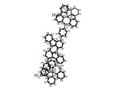 Cc1ccccc1C1(C2=CCCCC2C)c2ccccc2N(c2ccc(-c3ccc4c5c3c3ccccc3n5c3ccc(-c5ccc(N(C)c6ccccc6C6(c7ccccc7)c7ccccc7Sc7ccccc76)cc5)c5c6ccccc6n4c53)cc2)c2ccccc21